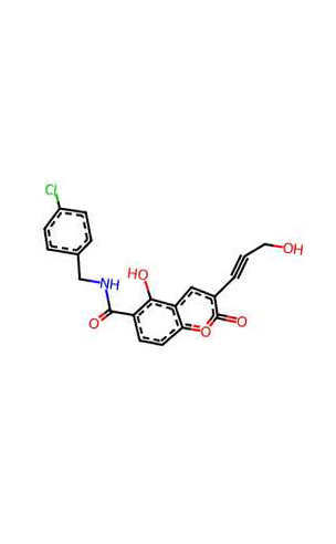 O=C(NCc1ccc(Cl)cc1)c1ccc2oc(=O)c(C#CCO)cc2c1O